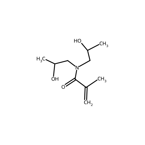 C=C(C)C(=O)N(CC(C)O)CC(C)O